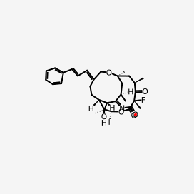 CC(=O)/N=C1\[C@H](C)C[C@]2(C)C[C@@H](C)C(=O)[C@](C)(F)C(=O)O[C@H](I)[C@@](C)(O)[C@H](CC/C(=C\C=C\c3ccccc3)CO2)[C@H]1C